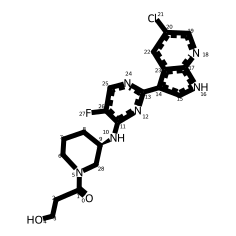 O=C(CCO)N1CCC[C@@H](Nc2nc(-c3c[nH]c4ncc(Cl)cc34)ncc2F)C1